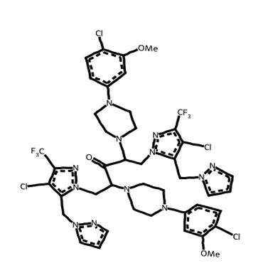 COc1cc(N2CCN(C(Cn3nc(C(F)(F)F)c(Cl)c3Cn3cccn3)C(=O)C(Cn3nc(C(F)(F)F)c(Cl)c3Cn3cccn3)N3CCN(c4ccc(Cl)c(OC)c4)CC3)CC2)ccc1Cl